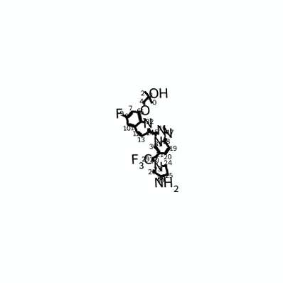 CC(C)(O)COc1cc(F)cc2ccc(-c3nnc4ccc([C@@H](N5CC[C@H](N)C5)C(F)(F)F)cn34)nc12